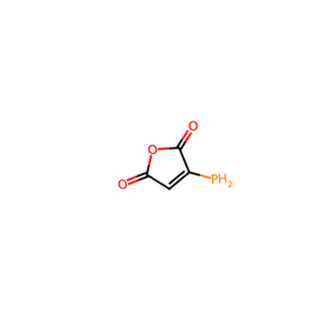 O=C1C=C(P)C(=O)O1